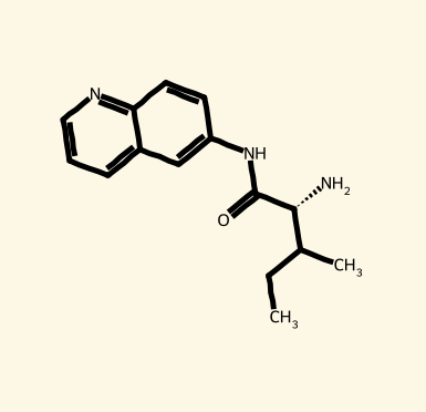 CCC(C)[C@@H](N)C(=O)Nc1ccc2ncccc2c1